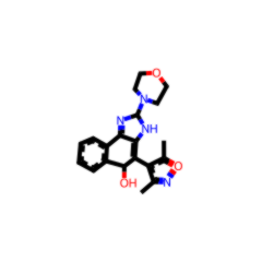 Cc1noc(C)c1C1=C2NC(N3CCOCC3)N=C2c2ccccc2C1O